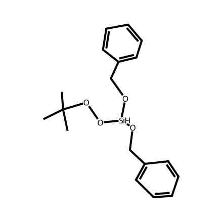 CC(C)(C)OO[SiH](OCc1ccccc1)OCc1ccccc1